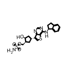 NS(=O)(=O)OC[C@@H]1C[C@@H](c2csc3c(N[C@H]4CCc5ccccc54)ncnc23)C[C@@H]1O